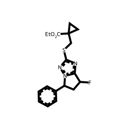 CCOC(=O)C1(CSc2nc3n(n2)C(c2ccccc2)CC3F)CC1